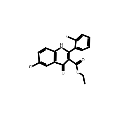 CCOC(=O)c1c(-c2ccccc2F)[nH]c2ccc(Cl)cc2c1=O